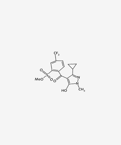 COS(=O)(=O)c1cc(C(F)(F)F)ccc1C(=O)c1c(C2CC2)nn(C)c1O